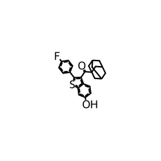 O=C(c1c(-c2ccc(F)cc2)sc2cc(O)ccc12)C12CC3CC(CC(C3)C1)C2